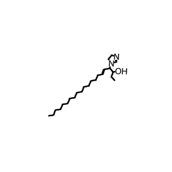 CCCCCCCCCCCCCCCC=CC(C(O)CC)N1C=NCC1